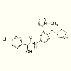 Cn1nccc1-c1cc(NC(=O)C(O)c2ccc(Cl)cc2)ccc1O[C@@H]1CCNC1